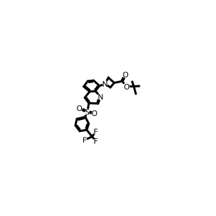 CC(C)(C)OC(=O)C1CN(c2cccc3cc(S(=O)(=O)c4cccc(C(F)(F)F)c4)cnc23)C1